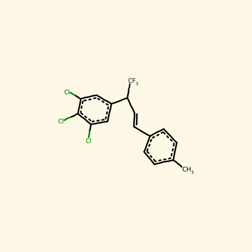 Cc1ccc(/C=C/C(c2cc(Cl)c(Cl)c(Cl)c2)C(F)(F)F)cc1